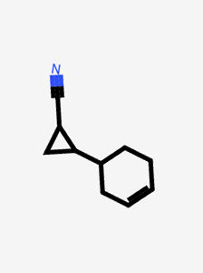 N#CC1CC1C1CC=CCC1